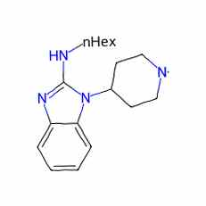 CCCCCCNc1nc2ccccc2n1C1CC[N]CC1